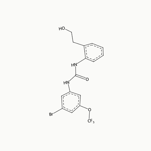 O=C(Nc1cc(Br)cc(OC(F)(F)F)c1)Nc1ccccc1CCO